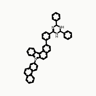 c1ccc(C2N=C(c3cccc(-c4ccc5ccc6c(c5c4)c4ccccc4n6-c4ccc5c(ccc6ccccc65)c4)c3)NC(c3ccccc3)N2)cc1